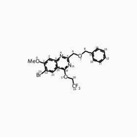 COc1cc2nc(COCc3ccccc3)nc(OCC(F)(F)F)c2cc1Br